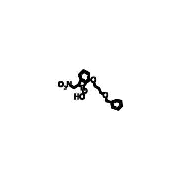 O=[N+]([O-])CC1B(OO)c2c(OCCCOCc3ccccc3)cccc21